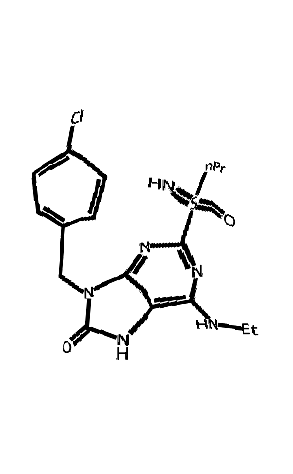 CCCS(=N)(=O)c1nc(NCC)c2[nH]c(=O)n(Cc3ccc(Cl)cc3)c2n1